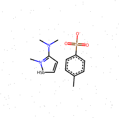 CN(C)C1=[N+](C)[SbH][CH]=C1.Cc1ccc(S(=O)(=O)[O-])cc1